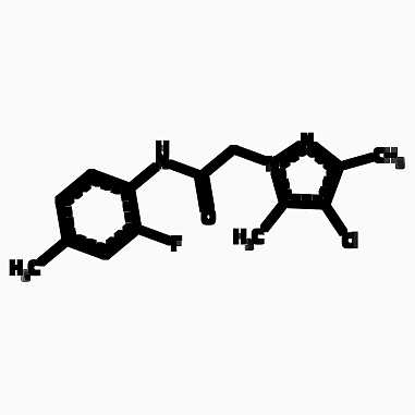 Cc1ccc(NC(=O)Cn2nc(C)c(Cl)c2C)c(F)c1